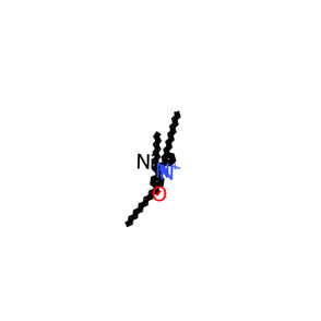 CCCCCCCCCCCC(=O)c1ccc(C2=CC(CCCCCCCC)=C(c3cccc(CCCCCCCCCCC)c3)[N+]2=[N-])cc1.[Ni]